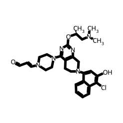 C[C@H](CN(C)C)Oc1nc2c(c(N3CCN(C=CC=O)CC3)n1)CCN(c1cc(O)c(Cl)c3ccccc13)C2